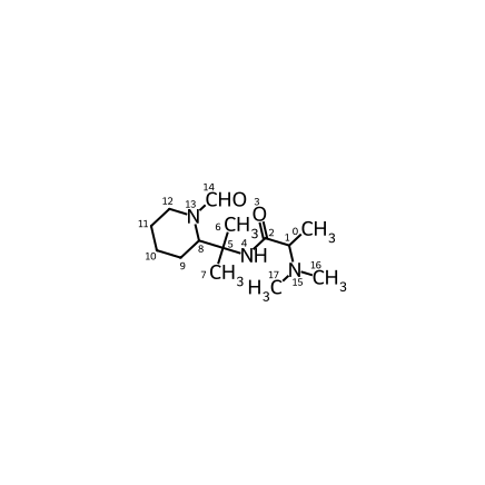 CC(C(=O)NC(C)(C)C1CCCCN1C=O)N(C)C